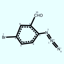 [N-]=[N+]=Nc1ccc(Br)cc1C=O